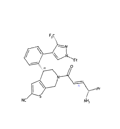 CCn1cc(-c2ccccc2[C@@H]2CN(C(=O)/C=C/C(N)C(C)C)Cc3sc(C#N)cc32)c(C(F)(F)F)n1